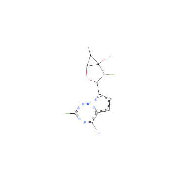 Nc1nc(F)nn2c(C3OC4C(I)C4(O)C3F)ccc12